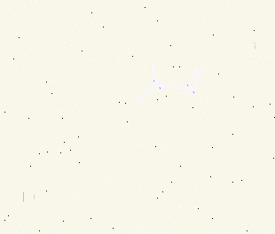 Cc1ccc(-n2ccc(C(C)C)n2)cc1